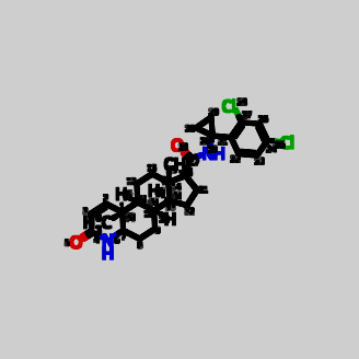 C[C@]12C=CC(=O)NC1CC[C@@H]1[C@H]2CC[C@]2(C)C(C(=O)NC3(c4ccc(Cl)cc4Cl)CC3)CC[C@@H]12